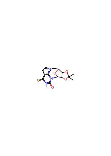 CC1(C)OC2C3Cn4ccc5c(=S)[nH]c(=O)n(c54)C(O3)C2O1